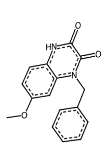 COc1ccc2[nH]c(=O)c(=O)n(Cc3ccccc3)c2c1